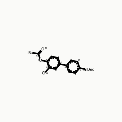 CCCCCCCCCCc1ccc(-c2ccc(OC(=O)C(C)CC)c(Cl)c2)cc1